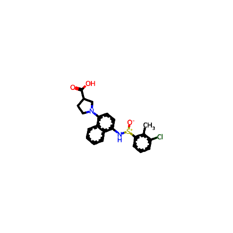 Cc1c(Cl)cccc1[S+]([O-])Nc1ccc(N2CCC(C(=O)O)C2)c2ccccc12